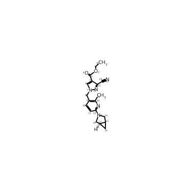 CCOC(=O)c1cn(Cc2ccc(N3CC4C[C@H]4C3)nc2C)nc1C#N